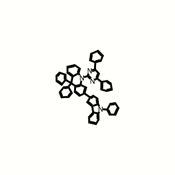 c1ccc(-c2cc(-c3ccccc3)nc(N3c4ccccc4C(c4ccccc4)(c4ccccc4)c4ccc(-c5ccc6c(c5)c5ccccc5n6-c5ccccc5)cc43)n2)cc1